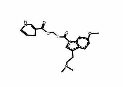 COc1ccc2c(CCN(C)C)cn(C(=O)OCOC(=O)C3=CNC=CC3)c2c1